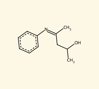 CC(CC(C)O)=Nc1ccccc1